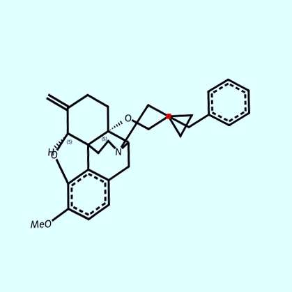 C=C1CC[C@@]2(OCCCc3ccccc3)C3Cc4ccc(OC)c5c4C2(CCN3CC2CC2)[C@H]1O5